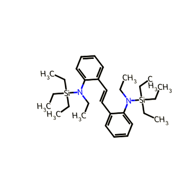 CCN(c1ccccc1C=Cc1ccccc1N(CC)[Si](CC)(CC)CC)[Si](CC)(CC)CC